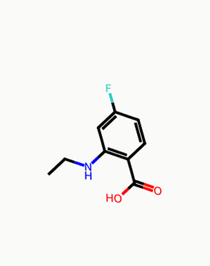 CCNc1cc(F)ccc1C(=O)O